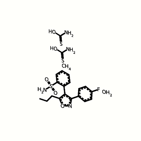 C.CCCc1onc(-c2ccc(F)cc2)c1-c1ccccc1S(N)(=O)=O.NC(O)=S.NC(O)=S.O